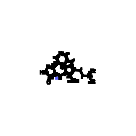 CCN(CC)CCc1c(C)[nH]c(/C=C2/C(=O)NN=C2c2cnccn2)c1C(C)(C)C